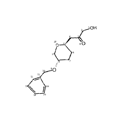 O=C(CO)C[C@H]1CC[C@H](OCc2ccccc2)CO1